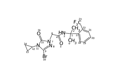 CC(C)(NC(=O)Cn1nc(Br)n(C2CC2)c1=O)c1ccccc1C(F)(F)F